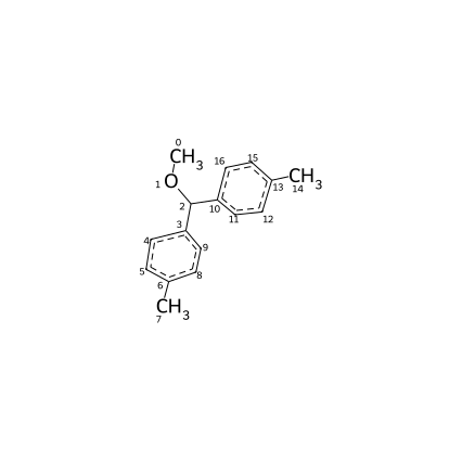 COC(c1ccc(C)cc1)c1ccc(C)cc1